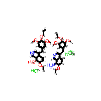 CCCOc1c(OC)cc(Cc2cncc3c(O)c(OCC)ccc23)cc1OC.CCOc1ccc2c(Cc3cc(OC)c(OCC)c(OC)c3)cncc2c1N.Cl.Cl.Cl